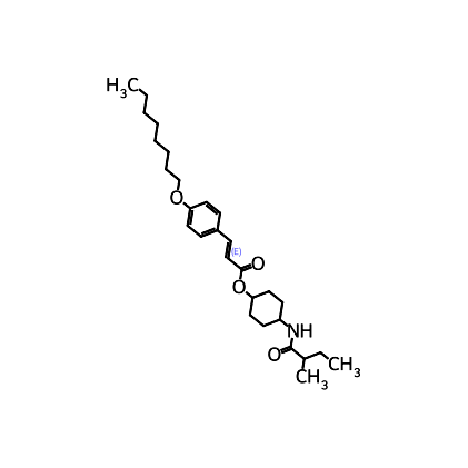 CCCCCCCCOc1ccc(/C=C/C(=O)OC2CCC(NC(=O)C(C)CC)CC2)cc1